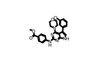 COC(=O)c1ccc(Nc2nc(N3CCOCC3)c3c(-c4cccc(Cl)c4)c[nH]c3n2)cc1